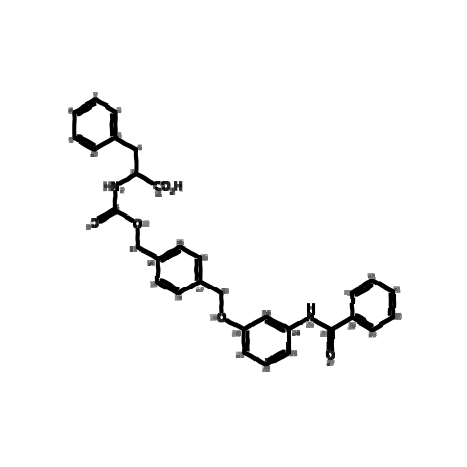 O=C(NC(Cc1ccccc1)C(=O)O)OCc1ccc(COc2cccc(NC(=O)c3ccccc3)c2)cc1